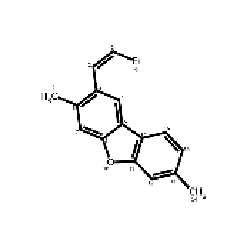 CC/C=C\c1cc2c(cc1C)oc1cc(C)ccc12